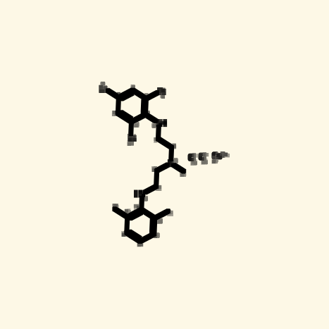 CCc1cc(CC)c(NCCN(C)CCNc2c(C)cccc2C)c(CC)c1.[Cl-].[Cl-].[Co+2]